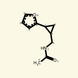 CC(=O)NCC1CC1c1ccco1